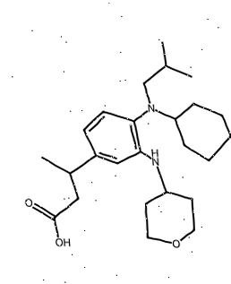 CC(C)CN(c1ccc(C(C)CC(=O)O)cc1NC1CCOCC1)C1CCCCC1